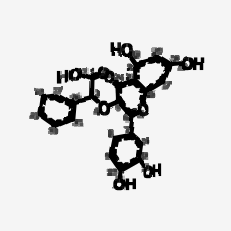 O=C(O)C(Oc1c(-c2ccc(O)c(O)c2)oc2cc(O)cc(O)c2c1=O)c1ccccc1